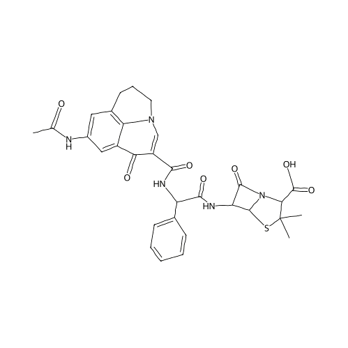 CC(=O)Nc1cc2c3c(c1)c(=O)c(C(=O)NC(C(=O)NC1C(=O)N4C1SC(C)(C)C4C(=O)O)c1ccccc1)cn3CCC2